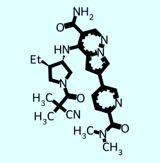 CC[C@@H]1CN(C(=O)C(C)(C)C#N)C[C@H]1Nc1c(C(N)=O)cnn2cc(-c3ccc(C(=O)N(C)C)nc3)cc12